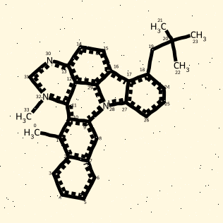 Cc1c2ccccc2cc2c1c1c3c(ccc4c5c(CC(C)(C)C)cccc5n2c43)nc[n+]1C